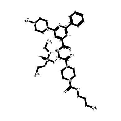 CCCCOC(=O)N1CCN(C(=O)[C@H](CP(=O)(OCC)OCC)NC(=O)c2cc(N3CCN(C)CC3)nc(-c3ccccc3)n2)CC1